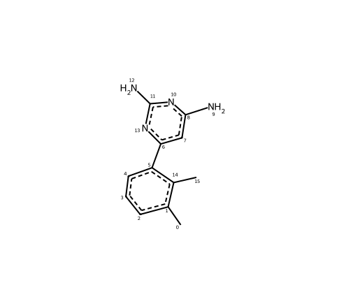 Cc1cccc(-c2cc(N)nc(N)n2)c1C